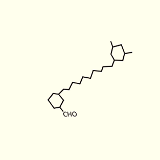 CC1CC(C)CC(CCCCCCCCCCC2CCCC(C=O)C2)C1